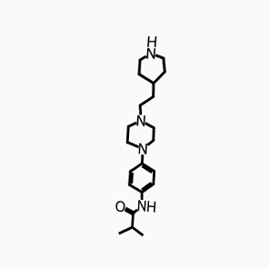 CC(C)C(=O)Nc1ccc(N2CCN(CCC3CCNCC3)CC2)cc1